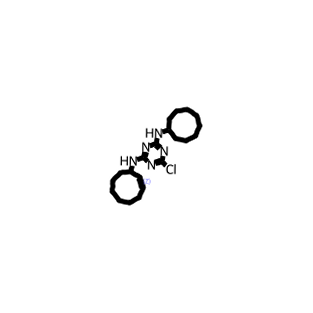 Clc1nc(NC2/C=C\CCCCCC2)nc(NC2CCCCCCCC2)n1